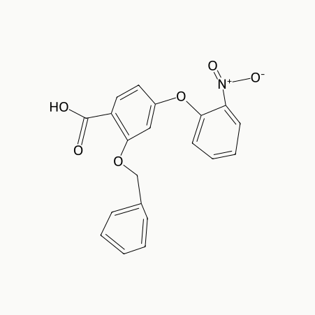 O=C(O)c1ccc(Oc2ccccc2[N+](=O)[O-])cc1OCc1ccccc1